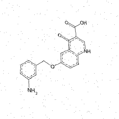 Nc1cccc(COc2ccc3[nH]cc(C(=O)O)c(=O)c3c2)c1